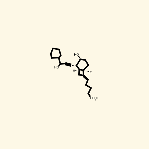 CC[C@@]12CC[C@H](O)[C@@H](C#CC(O)C3CCCCC3)[C@@H]1CC2=CCCCC(=O)O